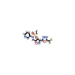 CCS(=O)(=O)N(Cc1cc(-c2nnc(C(F)F)o2)no1)c1cccnc1